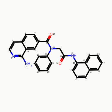 Nc1nccc2ccc(C(=O)N(CC(=O)Nc3cccc4ccccc34)c3ccccc3)cc12